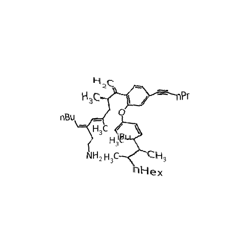 C=C(c1ccc(C#CCCC)cc1OC(/C=C\C(C)C(C)C(C)CCCCCC)=C/[C@H](C)CC)[C@H](C)C/C(C)=C/C(=C\CCCC)CCN